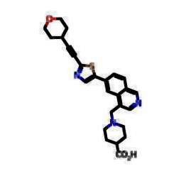 O=C(O)C1CCN(Cc2cncc3ccc(-c4cnc(C#CC5CCOCC5)s4)cc23)CC1